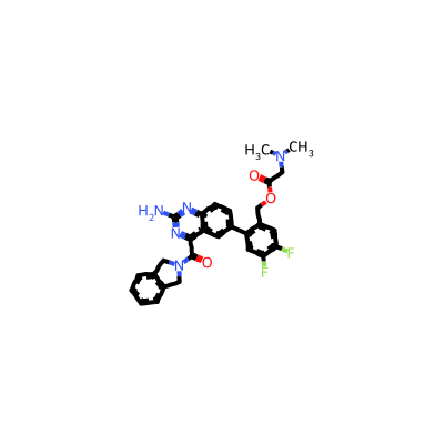 CN(C)CC(=O)OCc1cc(F)c(F)cc1-c1ccc2nc(N)nc(C(=O)N3Cc4ccccc4C3)c2c1